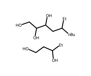 CCC(O)CCO.CCCCC(CC)CC(O)C(O)CO